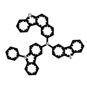 c1ccc(-n2c3ccccc3c3cc(N(c4ccc5sc6ccccc6c5c4)c4ccc5ccc6oc7ccccc7c6c5c4)ccc32)cc1